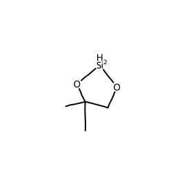 CC1(C)CO[SiH2]O1